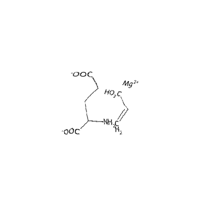 C=CC(=O)O.NC(CCC(=O)[O-])C(=O)[O-].[Mg+2]